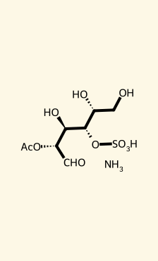 CC(=O)O[C@@H](C=O)[C@@H](O)[C@@H](OS(=O)(=O)O)[C@H](O)CO.N